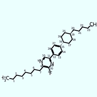 CCCCCCCCc1ncc(-c2ccc([C@H]3CC[C@H](CCCCC)CC3)cc2)nc1F